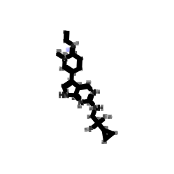 C=C/N=c1/ccc(-c2c[nH]c3nc(NCC(F)(F)C4CC4)ncc23)cn1C